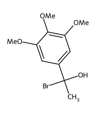 COc1cc(C(C)(O)Br)cc(OC)c1OC